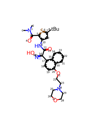 CN(C)C(=O)c1sc(C(C)(C)C)cc1NC(=O)/C(=N\O)c1ccc(OCCN2CCOCC2)c2ccccc12